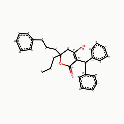 CCCC1(CCCc2ccccc2)CC(O)=C(C(c2ccccc2)c2ccccc2)C(=O)O1